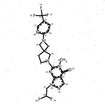 Cn1c(N2CCC3(CN(c4ccc(C(F)(F)F)cn4)C3)C2)nc2c(cnn2CC(F)F)c1=O